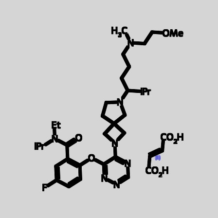 CCN(C(=O)c1cc(F)ccc1Oc1nncnc1N1CC2(CCN(C(CCCN(C)CCOC)C(C)C)C2)C1)C(C)C.O=C(O)/C=C/C(=O)O